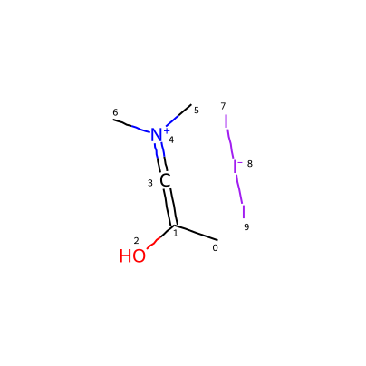 CC(O)=C=[N+](C)C.I[I-]I